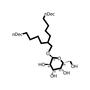 CCCCCCCCCCCCCCC(CCCCCCCCCCCCCC)CO[C@H]1O[C@H](CO)[C@H](O)[C@H](O)[C@H]1O